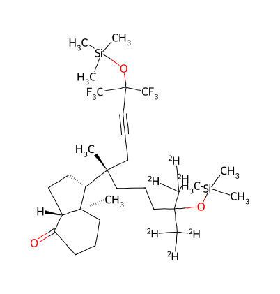 [2H]C([2H])([2H])C(CCC[C@@](C)(CC#CC(O[Si](C)(C)C)(C(F)(F)F)C(F)(F)F)[C@H]1CC[C@H]2C(=O)CCC[C@]12C)(O[Si](C)(C)C)C([2H])([2H])[2H]